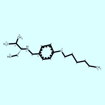 CCCCCCOc1ccc(CN[C@H](CO)C(C)C)cc1